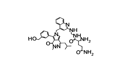 CC(C)Cc1nn(C)c(=O)c2c(-c3cccc(CO)c3)n(Cc3cc(NCNC(=O)C(N)CCC(N)=O)nc4ccccc34)cc12